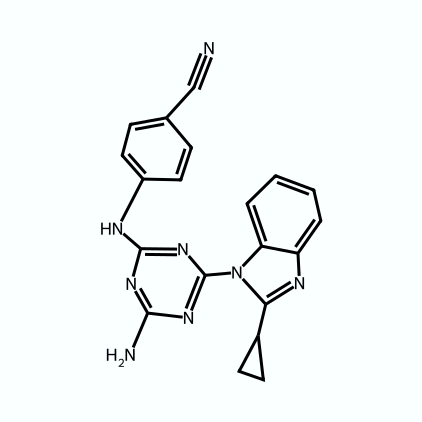 N#Cc1ccc(Nc2nc(N)nc(-n3c(C4CC4)nc4ccccc43)n2)cc1